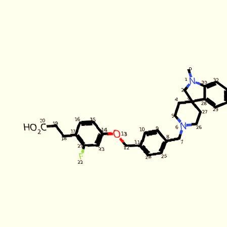 CN1CC2(CCN(Cc3ccc(COc4ccc(CCC(=O)O)c(F)c4)cc3)CC2)c2ccccc21